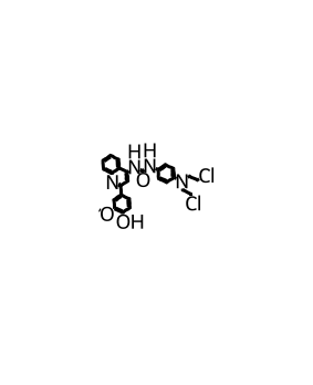 COc1cc(-c2cc(NC(=O)Nc3ccc(N(CCCl)CCCl)cc3)c3ccccc3n2)ccc1O